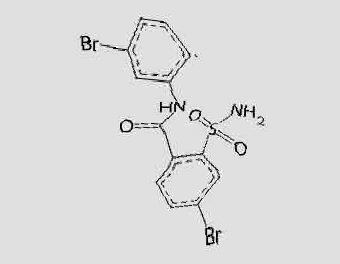 NS(=O)(=O)c1cc(Br)ccc1C(=O)Nc1[c]ccc(Br)c1